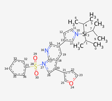 CC(C)[Si](C(C)C)(C(C)C)n1ccc(-c2cnc3c(c2)c(-c2ccoc2)cn3S(=O)(=O)c2ccccc2)c1